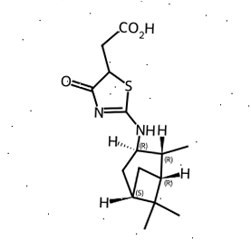 C[C@@H]1[C@H]2C[C@@H](C[C@H]1NC1=NC(=O)C(CC(=O)O)S1)C2(C)C